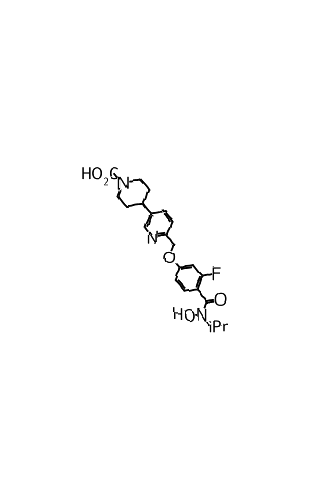 CC(C)N(O)C(=O)c1ccc(OCc2ccc(C3CCN(C(=O)O)CC3)cn2)cc1F